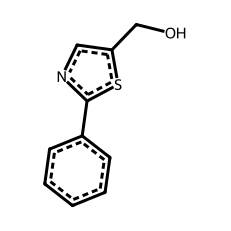 OCc1cnc(-c2ccccc2)s1